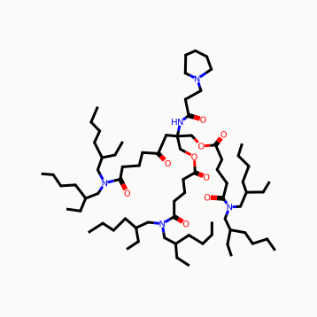 CCCCC(CC)CN(CC(CC)CCCC)C(=O)CCCC(=O)CC(COC(=O)CCCC(=O)N(CC(CC)CCCC)CC(CC)CCCC)(COC(=O)CCCC(=O)N(CC(CC)CCCC)CC(CC)CCCC)NC(=O)CCN1CCCCC1